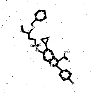 C=CC(CCS(=O)(=O)Nc1cc2oc(-c3ccc(F)cc3)c(C(=O)NC)c2cc1C1CC1)OCc1ccccc1